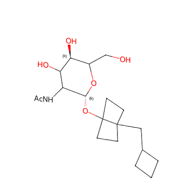 CC(=O)NC1C(O)[C@@H](O)C(CO)O[C@@H]1OC12CCC1(CC1CCC1)CC2